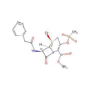 BOC(=O)C1=C(OS(C)(=O)=O)C[S@+]([O-])[C@@H]2[C@H](NC(=O)Cc3ccccc3)C(=O)N12